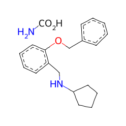 NC(=O)O.c1ccc(COc2ccccc2CNC2CCCC2)cc1